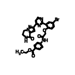 CCOC(=O)c1ccc(NC(=O)COc2ccc(Br)cc2-c2nccc(-c3cc4n(n3)CCNC4=O)n2)cc1